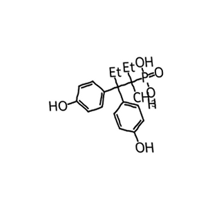 CCC(c1ccc(O)cc1)(c1ccc(O)cc1)C(C)(CC)P(=O)(O)O